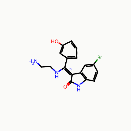 NCCN/C(=C1\C(=O)Nc2ccc(Br)cc21)c1cccc(O)c1